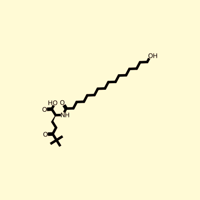 CC(C)(C)C(=O)CC[C@H](NC(=O)CCCCCCCCCCCCCCCO)C(=O)O